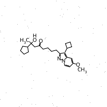 COc1ccn2nc(CCCCC(=O)CC(C)(O)C3CCCC3)c(C3CCC3)c2c1